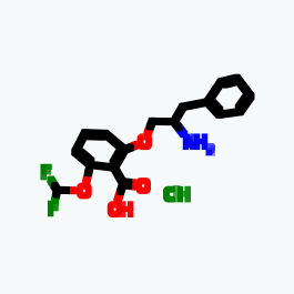 Cl.NC(COc1cccc(OC(F)F)c1C(=O)O)Cc1ccccc1